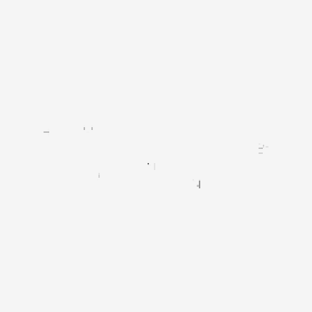 COC(=O)CNc1ccc(Br)cn1